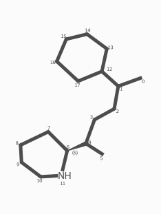 CC(CCC(C)[C@@H]1CCCCN1)C1CCCCC1